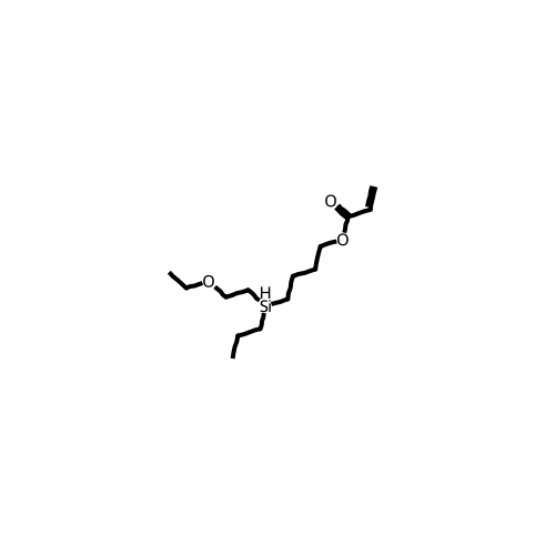 C=CC(=O)OCCCC[SiH](CCC)CCOCC